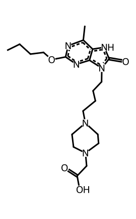 CCCCOc1nc(C)c2[nH]c(=O)n(CCCCN3CCN(CC(=O)O)CC3)c2n1